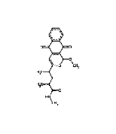 CNC(=O)C(N)CC(C)C1=CC2=C(C(=O)c3ccccc3C2=O)C(OC)O1